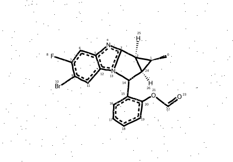 C[C@@H]1[C@@H]2c3nc4cc(F)c(Br)cc4n3C(c3ccccc3OC=O)[C@H]12